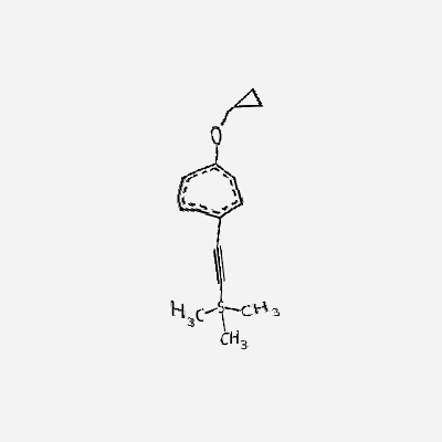 CS(C)(C)C#Cc1ccc(OC2CC2)cc1